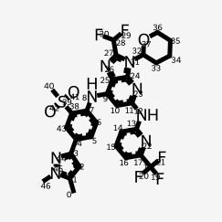 Cc1cc(-c2ccc(Nc3cc(Nc4cccc(C(F)(F)F)n4)nc4c3nc(C(F)F)n4C3CCCCO3)c(S(C)(=O)=O)c2)nn1C